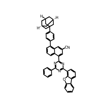 N#Cc1cc(-c2nc(-c3ccccc3)nc(-c3cccc4c3oc3ccccc34)n2)c2cccc(-c3ccc(C45C[C@H]6C[C@@H](C4)C[C@@H](C5)C6)cc3)c2c1